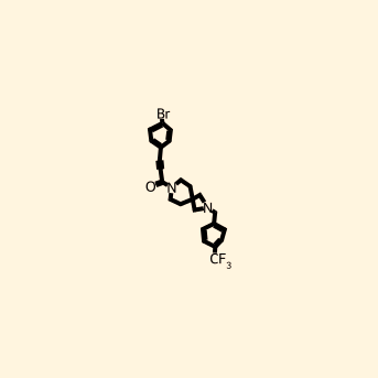 O=C(C#Cc1ccc(Br)cc1)N1CCC2(CC1)CN(Cc1ccc(C(F)(F)F)cc1)C2